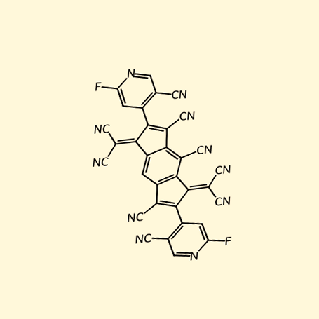 N#CC(C#N)=C1C(c2cc(F)ncc2C#N)=C(C#N)c2c1cc1c(c2C#N)C(=C(C#N)C#N)C(c2cc(F)ncc2C#N)=C1C#N